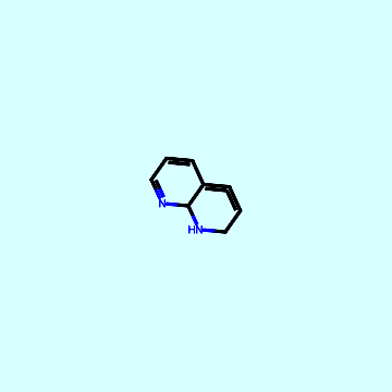 C1=CCNC2N=CC=CC=12